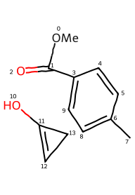 COC(=O)c1ccc(C)cc1.OC1=CC1